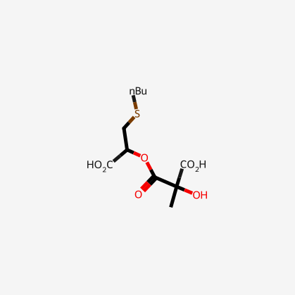 CCCCSCC(OC(=O)C(C)(O)C(=O)O)C(=O)O